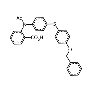 CC(=O)N(c1ccc(Sc2ccc(OCc3ccccc3)cc2)cc1)c1ccccc1C(=O)O